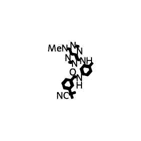 CNc1ncnc2c(Nc3cc(NC(=O)c4cccc(C(C)(C)C#N)c4)ccc3C)ncnc12